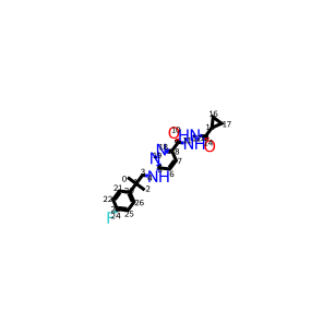 CC(C)(CNc1ccc(C(=O)NNC(=O)C2CC2)nn1)c1ccc(F)cc1